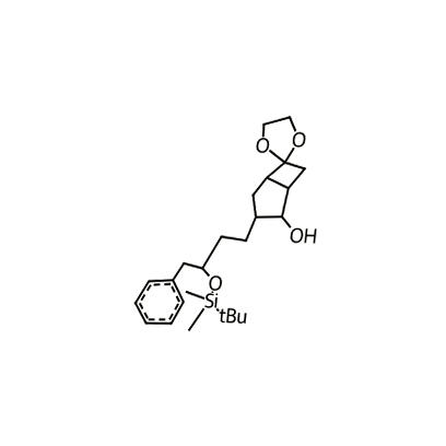 CC(C)(C)[Si](C)(C)OC(CCC1CC2C(CC23OCCO3)C1O)Cc1ccccc1